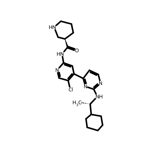 C[C@H](Nc1nccc(-c2cc(NC(=O)[C@@H]3CCCNC3)ncc2Cl)n1)C1CCCCC1